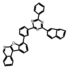 c1ccc(-c2nc(-c3cccc(-c4cccc5c4oc4ncc6ccccc6c45)c3)nc(-c3ccc4ccccc4c3)n2)cc1